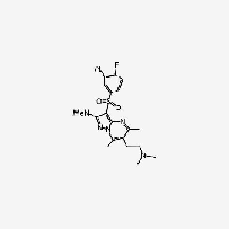 CNc1nn2c(C)c(CCN(C)C)c(C)nc2c1S(=O)(=O)c1ccc(F)c(Cl)c1